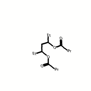 CCC(CC(CC)OC(=O)C(C)C)OC(=O)C(C)C